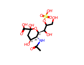 CC(=O)N[C@@H]1[C@@H](O)CC(O)(C(=O)O)O[C@H]1C(O)C(CO)OS(=O)(=O)O